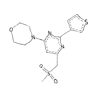 CS(=O)(=O)Cc1cc(N2CCOCC2)nc(-c2ccsc2)n1